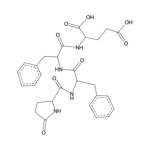 O=C(O)CCC(NC(=O)C(Cc1ccccc1)NC(=O)C(Cc1ccccc1)NC(=O)C1CCC(=O)N1)C(=O)O